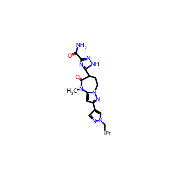 CC(C)Cn1cc(-c2cc3n(n2)CCC(c2nc(C(N)=O)n[nH]2)C(=O)N3C)cn1